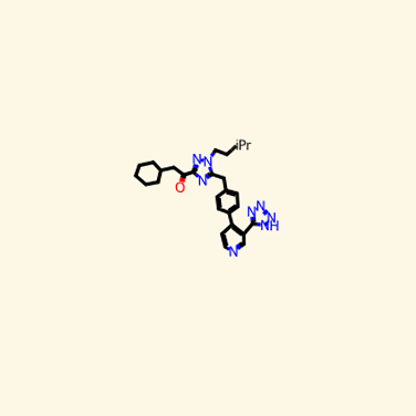 CC(C)CCn1nc(C(=O)CC2CCCCC2)nc1Cc1ccc(-c2ccncc2-c2nnn[nH]2)cc1